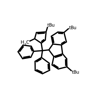 CC1C=C(C(C)(C)C)C=C1C(c1ccccc1)(c1ccccc1)C1c2ccc(C(C)(C)C)cc2-c2cc(C(C)(C)C)ccc21